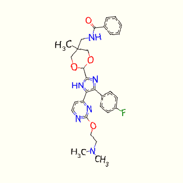 CN(C)CCOc1nccc(-c2[nH]c(C3OCC(C)(CNC(=O)c4ccccc4)CO3)nc2-c2ccc(F)cc2)n1